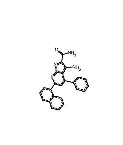 NC(=O)c1sc2nc(-c3cccc4ccccc34)cc(-c3ccccc3)c2c1N